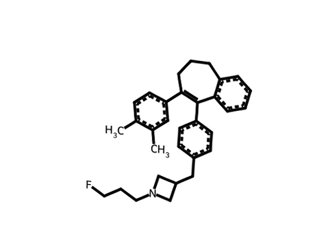 Cc1ccc(C2=C(c3ccc(CC4CN(CCCF)C4)cc3)c3ccccc3CCC2)cc1C